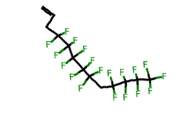 C=CCC(F)(F)C(F)(F)C(F)(F)C(F)(F)C(F)(F)CC(F)(F)C(F)(F)C(F)(F)C(F)(F)F